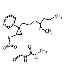 CCCC(CCCC1(c2ccccc2)CC1N=S(=O)=O)OC.CNC(=O)NC=O